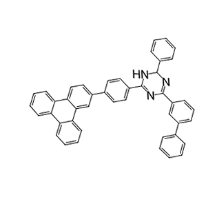 c1ccc(-c2cccc(C3=NC(c4ccccc4)NC(c4ccc(-c5ccc6c7ccccc7c7ccccc7c6c5)cc4)=N3)c2)cc1